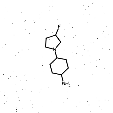 NC1CCC(N2CCC(F)C2)CC1